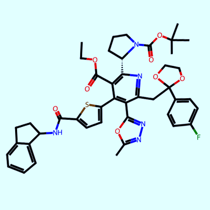 CCOC(=O)c1c([C@@H]2CCCN2C(=O)OC(C)(C)C)nc(CC2(c3ccc(F)cc3)OCCO2)c(-c2nnc(C)o2)c1-c1ccc(C(=O)NC2CCc3ccccc32)s1